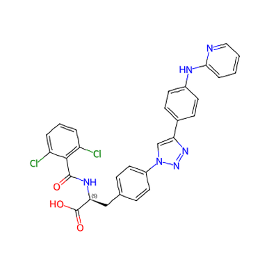 O=C(N[C@@H](Cc1ccc(-n2cc(-c3ccc(Nc4ccccn4)cc3)nn2)cc1)C(=O)O)c1c(Cl)cccc1Cl